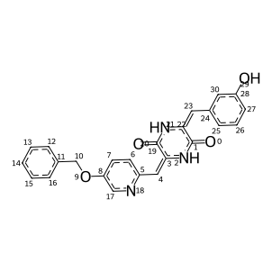 O=c1[nH]c(=Cc2ccc(OCc3ccccc3)cn2)c(=O)[nH]c1=Cc1cccc(O)c1